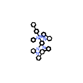 N#Cc1cc(C2NC(c3ccc(C4=CCCC=C4)cc3)=[N+]2c2ccccc2)c(N2c3ccccc3C3CCC=CC32)cc1-n1c2c(c3ccccc31)CC1C(=C2)N(C2=CCCC=C2)C2C=CC=CC12